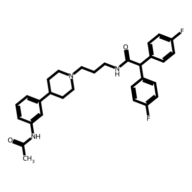 CC(=O)Nc1cccc(C2CCN(CCCNC(=O)C(c3ccc(F)cc3)c3ccc(F)cc3)CC2)c1